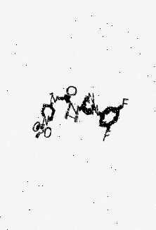 CN(C(=O)Nc1cnn(-c2cc(F)cc(F)c2)c1)C1CCN(S(C)(=O)=O)CC1